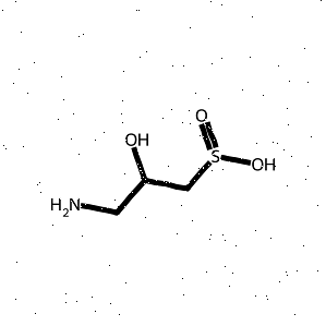 NCC(O)CS(=O)O